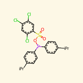 CC(C)c1ccc([I+](OS(=O)(=O)c2cc(Cl)c(Cl)cc2Cl)c2ccc(C(C)C)cc2)cc1